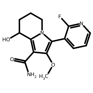 COc1c(C(N)=O)c2n(c1-c1cccnc1F)CCCC2O